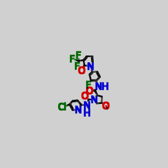 CO[C@@H]1C[C@H](C(=O)Nc2ccc(-n3cccc(C(F)(F)F)c3=O)cc2F)N(C(=O)Nc2ccc(Cl)cn2)C1